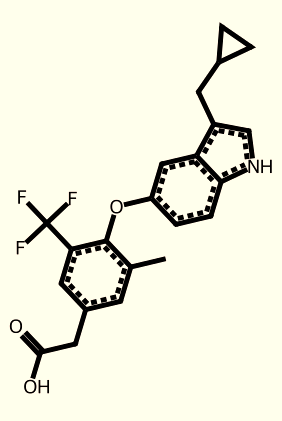 Cc1cc(CC(=O)O)cc(C(F)(F)F)c1Oc1ccc2[nH]cc(CC3CC3)c2c1